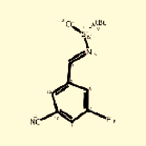 CC(C)(C)[S@@+]([O-])N=Cc1cc(F)cc(C#N)c1